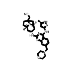 Cc1cc(Nc2nc(N[C@H]3C[C@@H]4CCC5(CC#N)C[C@H](C3)N45)nc3cc(CN4CCOCC4)ccc23)n[nH]1